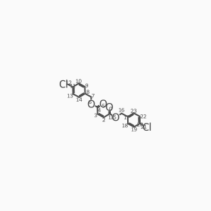 O=C(/C=C\C(=O)OCc1ccc(Cl)cc1)OCc1ccc(Cl)cc1